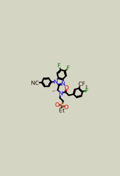 CCS(=O)(=O)CCN(C(=O)Cc1ccc(F)c(C(F)(F)F)c1)[C@H](C)c1nc2cc(F)c(F)cc2n1-c1ccc(C#N)cc1